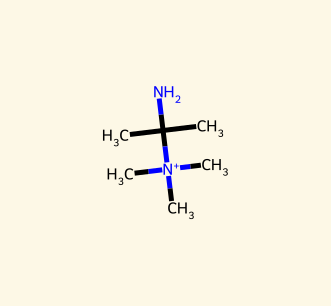 CC(C)(N)[N+](C)(C)C